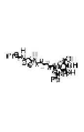 CC(C)OCNC(=O)CC(=O)NCCCCCCOC1OC(CO)C(O)C(O)C1NC(=O)C(F)F